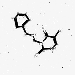 Cc1c[nH]c(=O)n(COCc2ccccc2)c1=O